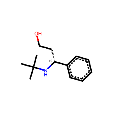 CC(C)(C)N[C@H](CCO)c1ccccc1